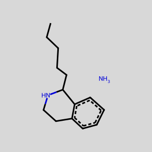 CCCCCC1NCCc2ccccc21.N